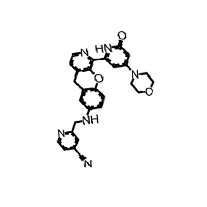 N#Cc1ccnc(CNc2ccc3c(c2)Cc2ccnc(-c4cc(N5CCOCC5)cc(=O)[nH]4)c2O3)c1